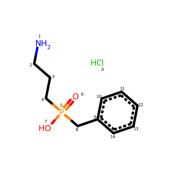 Cl.NCCCP(=O)(O)Cc1ccccc1